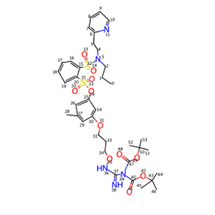 CCCN(CCc1ccccn1)S(=O)(=O)c1ccccc1S(=O)(=O)Oc1cc(C)cc(OCCCONC(=N)N(C(=O)OC(C)(C)C)C(=O)OC(C)(C)C)c1